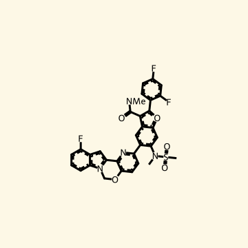 CNC(=O)c1c(-c2ccc(F)cc2F)oc2cc(N(C)S(C)(=O)=O)c(-c3ccc4c(n3)-c3cc5c(F)cccc5n3CO4)cc12